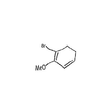 COC1=C(Br)[CH]CC=C1